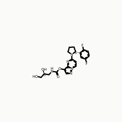 O=C(NC[C@H](O)CO)Oc1cnn2ccc(N3CCC[C@@H]3c3cc(F)ccc3F)nc12